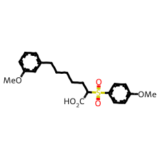 COc1ccc(S(=O)(=O)C(CCCCCc2cccc(OC)c2)C(=O)O)cc1